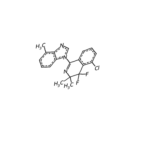 Cc1cccc2c1ncn2C1=NC(C)(C)C(F)(F)c2c(Cl)cccc21